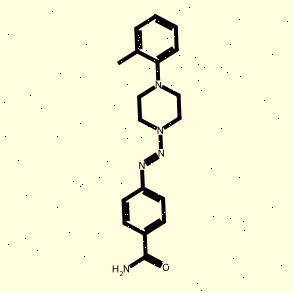 Cc1ccccc1N1CCN(N=Nc2ccc(C(N)=O)cc2)CC1